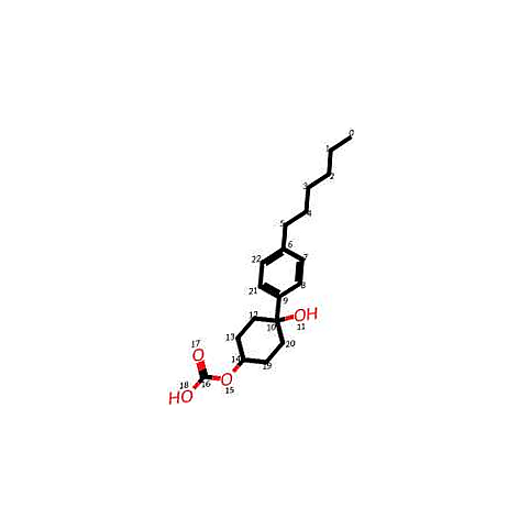 CCCCCCc1ccc(C2(O)CCC(OC(=O)O)CC2)cc1